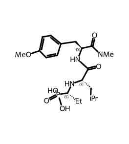 CC[C@@H](N[C@@H](CC(C)C)C(=O)N[C@@H](Cc1ccc(OC)cc1)C(=O)NC)P(=O)(O)O